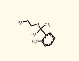 CCCOC(C)(C)c1ccccc1C